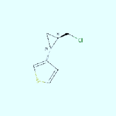 ClC[C@@H]1C[C@H]1c1ccsc1